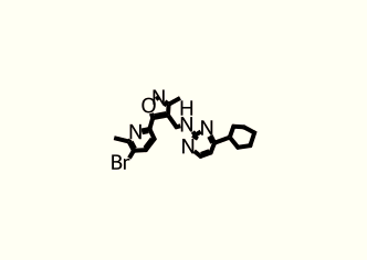 Cc1nc(-c2onc(C)c2CNc2nccc(C3CCCCC3)n2)ccc1Br